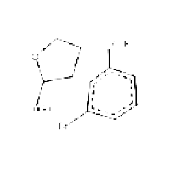 CCCCC1CCCO1.CCOC(=O)c1cccc(Br)c1